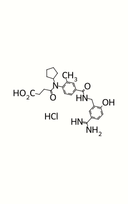 Cc1cc(C(=O)NCc2cc(C(=N)N)ccc2O)ccc1N(C(=O)CCC(=O)O)C1CCCC1.Cl